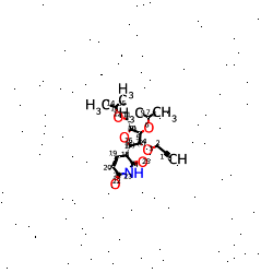 C#CCO[C@H]1C(OC(C)C)[C@@H](COC(C)C)O[C@H]1C1C=CC(=O)NC1=O